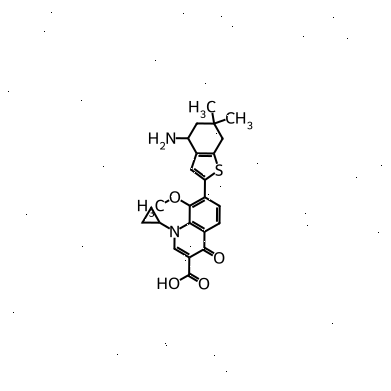 COc1c(-c2cc3c(s2)CC(C)(C)CC3N)ccc2c(=O)c(C(=O)O)cn(C3CC3)c12